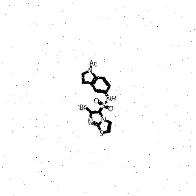 CC(=O)N1CCc2cc(NS(=O)(=O)C3C(Br)N=C4SC=CN43)ccc21